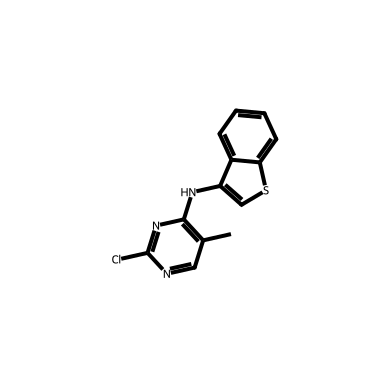 Cc1cnc(Cl)nc1Nc1csc2ccccc12